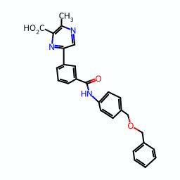 Cc1ncc(-c2cccc(C(=O)Nc3ccc(COCc4ccccc4)cc3)c2)nc1C(=O)O